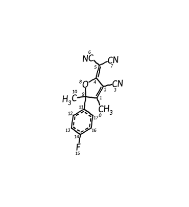 CC1=C(C#N)C(=C(C#N)C#N)OC1(C)c1ccc(F)cc1